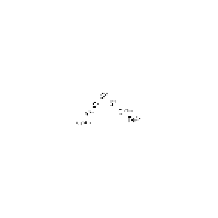 [Cr+3].[Cr+3].[Fe+2].[S-2].[S-2].[S-2].[S-2]